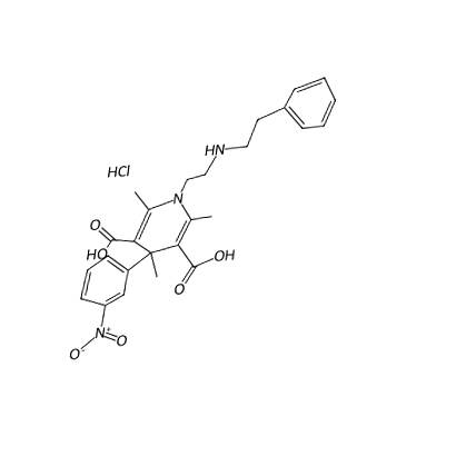 CC1=C(C(=O)O)C(C)(c2cccc([N+](=O)[O-])c2)C(C(=O)O)=C(C)N1CCNCCc1ccccc1.Cl